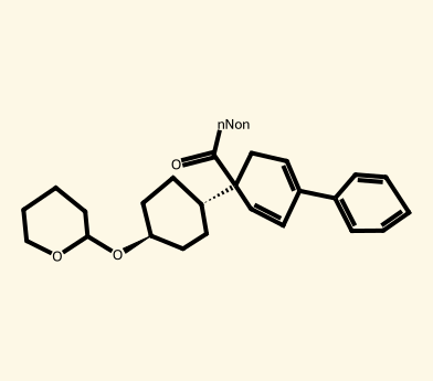 CCCCCCCCCC(=O)C1([C@H]2CC[C@H](OC3CCCCO3)CC2)C=CC(c2ccccc2)=CC1